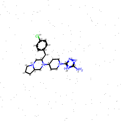 Nc1nnc(N2CCC(N3CC4CCCN4CC3Cc3ccc(Cl)cc3)CC2)[nH]1